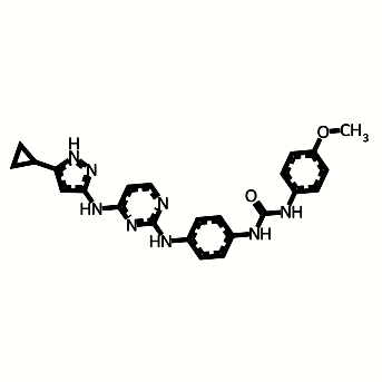 COc1ccc(NC(=O)Nc2ccc(Nc3nccc(Nc4cc(C5CC5)[nH]n4)n3)cc2)cc1